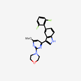 COc1cc(-c2c[nH]c3ccc(-c4c(F)cccc4F)cc23)nc(N2CCOCC2)n1